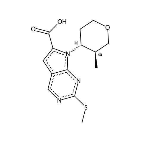 CSc1ncc2cc(C(=O)O)n([C@@H]3CCOC[C@H]3C)c2n1